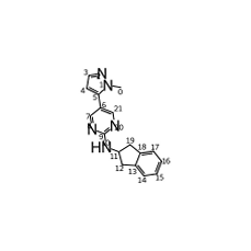 Cn1nccc1-c1cnc(NC2Cc3ccccc3C2)nc1